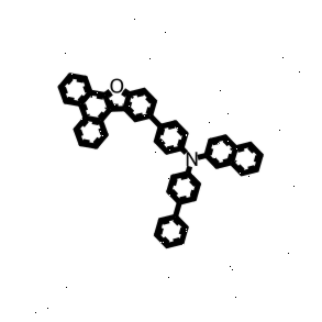 c1ccc(-c2ccc(N(c3ccc(-c4ccc5oc6c7ccccc7c7ccccc7c6c5c4)cc3)c3ccc4ccccc4c3)cc2)cc1